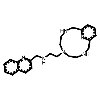 c1cc2nc(c1)CNCCN(CCNCc1ccc3ccccc3n1)CCNC2